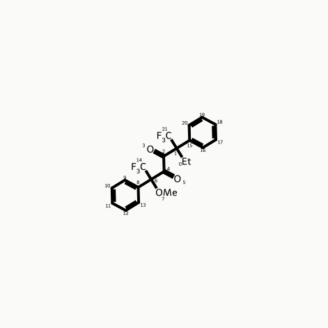 CCC(C(=O)C(=O)C(OC)(c1ccccc1)C(F)(F)F)(c1ccccc1)C(F)(F)F